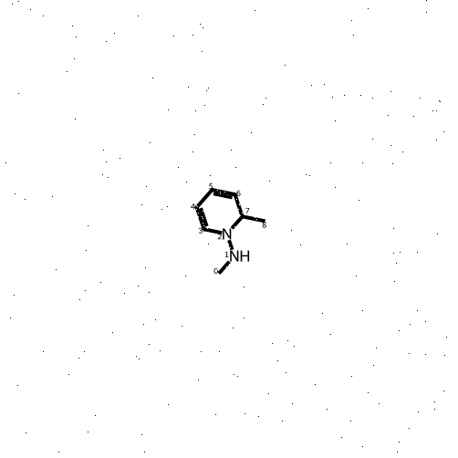 CNN1C=CC=CC1C